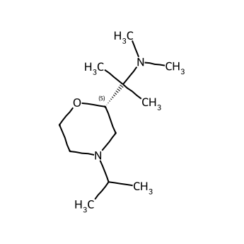 CC(C)N1CCO[C@H](C(C)(C)N(C)C)C1